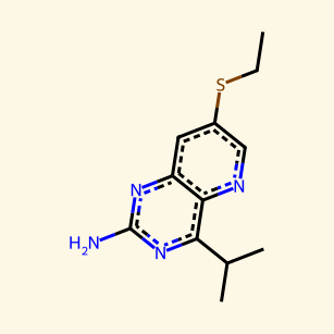 CCSc1cnc2c(C(C)C)nc(N)nc2c1